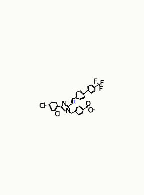 COC(=O)c1ccc(Cn2cc(-c3ccc(Cl)cc3Cl)nc2/C=C/c2ccc(-c3ccc(C(F)(F)F)cc3)cc2)cc1